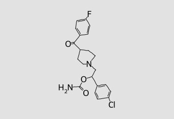 NC(=O)OC(CN1CCC(C(=O)c2ccc(F)cc2)CC1)c1ccc(Cl)cc1